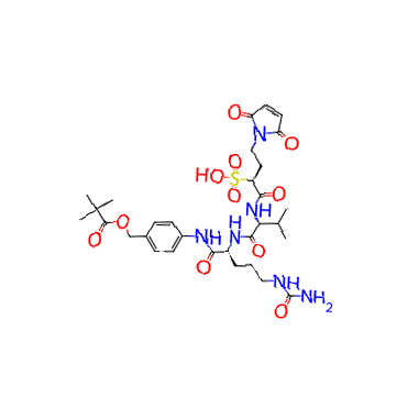 CC(C)[C@H](NC(=O)[C@H](CCN1C(=O)C=CC1=O)S(=O)(=O)O)C(=O)N[C@@H](CCCNC(N)=O)C(=O)Nc1ccc(COC(=O)C(C)(C)C)cc1